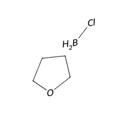 BCl.C1CCOC1